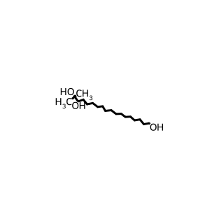 CC(C)(O)C(O)CCCCCCCCCCCCCCCO